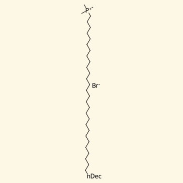 CCCCCCCCCCCCCCCCCCCCCCCCCCCCCCCCCCCCCC[P+](C)(C)C.[Br-]